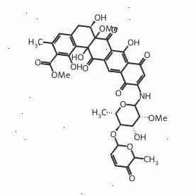 COC(=O)c1c(C)cc2c(c1O)C1(O)C(=O)c3cc4c(c(O)c3C(=O)C1(OC)[C@H](O)C2)C(=O)C=C(NC1O[C@@H](C)[C@H](OC2C=CC(=O)C(C)O2)[C@@H](O)[C@H]1OC)C4=O